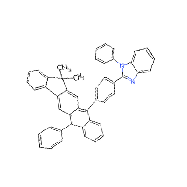 CC1(C)c2ccccc2-c2cc3c(-c4ccccc4)c4ccccc4c(-c4ccc(-c5nc6ccccc6n5-c5ccccc5)cc4)c3cc21